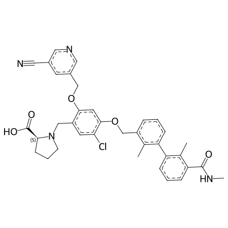 CNC(=O)c1cccc(-c2cccc(COc3cc(OCc4cncc(C#N)c4)c(CN4CCC[C@H]4C(=O)O)cc3Cl)c2C)c1C